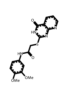 COc1ccc(NC(=O)CSc2nc3ncccc3c(=O)[nH]2)cc1OC